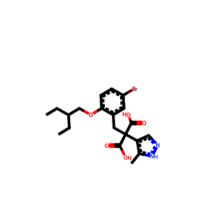 CCC(CC)COc1ccc(Br)cc1CC(C(=O)O)(C(=O)O)c1cn[nH]c1C